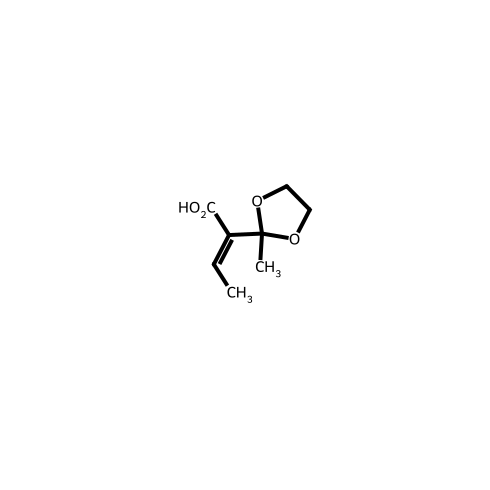 C/C=C(/C(=O)O)C1(C)OCCO1